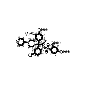 COc1ccc(S(=O)(=O)N2C(=O)C(c3ccc(OC)c(OC)c3)(N3CCN(c4ccncc4)CC3)c3cc(Cl)ccc32)c(OC)c1